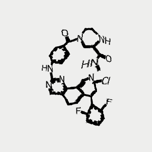 CNC(=O)C1CN(C(=O)c2ccc(Nc3ncc4c(n3)C3=CN=C(Cl)C=C(c5c(F)cccc5F)C3=CC4)cc2)CCN1